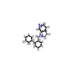 c1ccc(-c2ccccc2CN2CCc3ccncc32)cc1